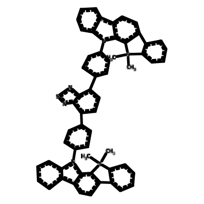 CS1(C)c2ccccc2-c2ccc3c4ccccc4n(-c4ccc(-c5ccc(-c6ccc(-n7c8ccccc8c8ccc9c(c87)S(C)(C)c7ccccc7-9)cc6)c6nsnc56)cc4)c3c21